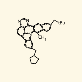 Cc1c2ccc(CC(C)(C)C)cc2cc2c3ncnc4ccc5c6ccc(CC7CCCC7)cc6n(c12)c5c43